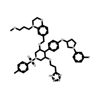 COCCCN1CCOc2ccc(COC3CN(S(=O)(=O)c4ccc(C)cc4)CC(OCCc4nnn[nH]4)C3c3ccc(OC4CCN(c5cccc(F)c5)C4)cc3)cc21